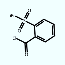 CC(C)S(=O)(=O)c1ccccc1C(=O)Cl